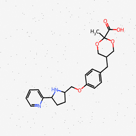 CC1(C(=O)O)OCC(Cc2ccc(OCC3CCC(c4ccccn4)N3)cc2)CO1